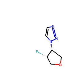 F[C@H]1COC[C@H]1n1ccnn1